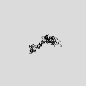 CCc1cc(Nc2ncc(-c3cn(C)cn3)c(Nc3ccccc3P(C)(C)=O)n2)c(OC)cc1N1CCC(N2CCN(CCOc3cccc4c3CN(C3CCC(=O)NC3=O)C4=O)CC2)CC1